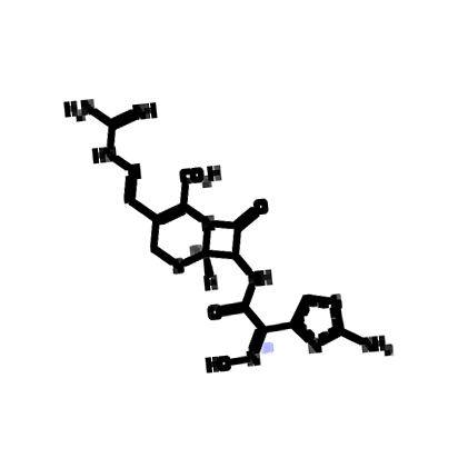 N=C(N)NN=CC1=C(C(=O)O)N2C(=O)C(NC(=O)/C(=N\O)c3csc(N)n3)[C@@H]2SC1